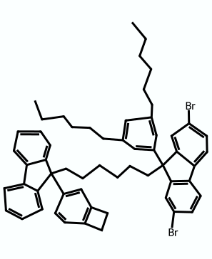 CCCCCCc1cc(CCCCCC)cc(C2(CCCCCCC3(c4ccc5c(c4)CC5)c4ccccc4-c4ccccc43)c3cc(Br)ccc3-c3ccc(Br)cc32)c1